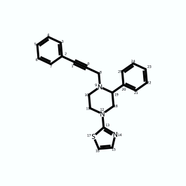 C(#Cc1ccccc1)CN1CCN(c2nccs2)CC1c1ccccc1